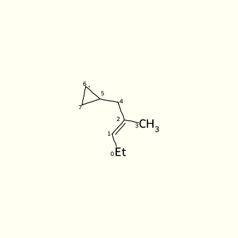 CCC=C(C)CC1[CH]C1